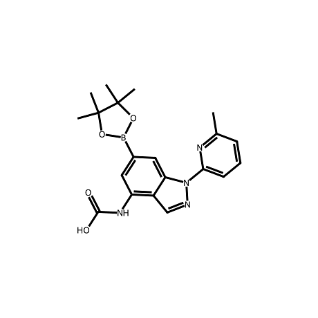 Cc1cccc(-n2ncc3c(NC(=O)O)cc(B4OC(C)(C)C(C)(C)O4)cc32)n1